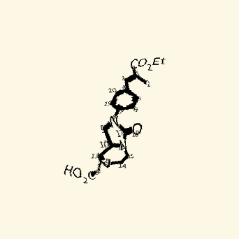 CCOC(=O)C(C)=Cc1ccc(N2CC3CN(C(=O)O)CCN3C2=O)cc1